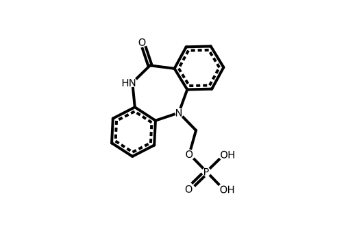 O=C1Nc2ccccc2N(COP(=O)(O)O)c2ccccc21